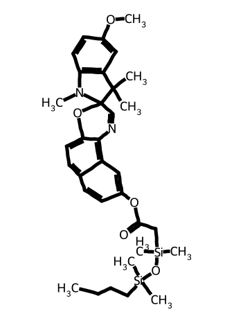 CCCC[Si](C)(C)O[Si](C)(C)CC(=O)Oc1ccc2ccc3c(c2c1)N=CC1(O3)N(C)c2ccc(OC)cc2C1(C)C